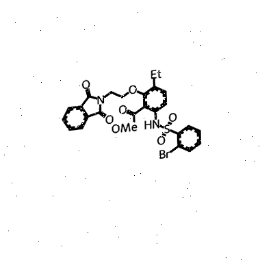 CCc1ccc(NS(=O)(=O)c2ccccc2Br)c(C(=O)OC)c1OCCN1C(=O)c2ccccc2C1=O